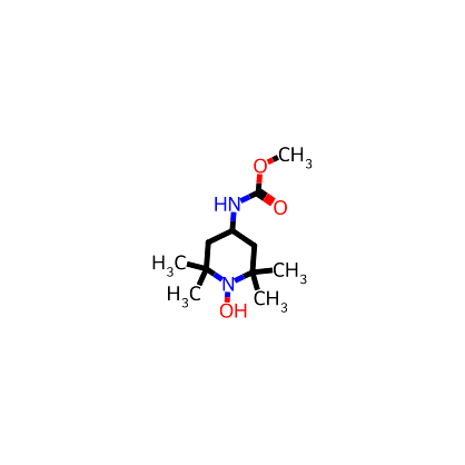 COC(=O)NC1CC(C)(C)N(O)C(C)(C)C1